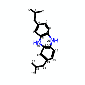 CC(C)Cc1ccc2c(c1)Nc1cc(CC(C)C)ccc1N2